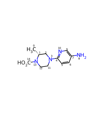 C[C@@H]1CN(c2ccc(N)cn2)CCN1C(=O)O